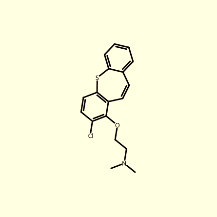 CN(C)CCOc1c(Cl)ccc2c1C=Cc1ccccc1S2